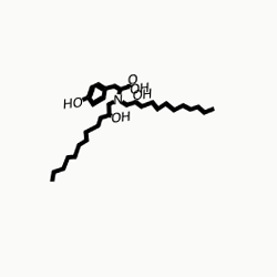 CCCCCCCCCCC(O)CN(CC(O)CCCCCCCCCC)C(Cc1ccc(O)cc1)C(=O)O